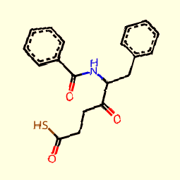 O=C(S)CCC(=O)C(Cc1ccccc1)NC(=O)c1ccccc1